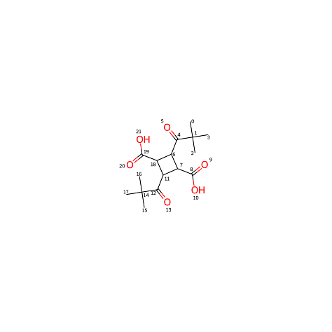 CC(C)(C)C(=O)C1C(C(=O)O)C(C(=O)C(C)(C)C)C1C(=O)O